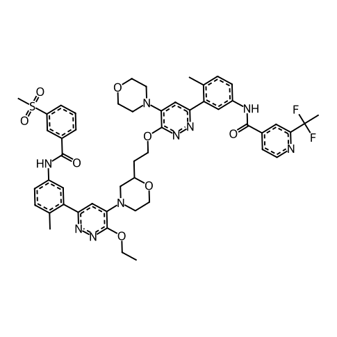 CCOc1nnc(-c2cc(NC(=O)c3cccc(S(C)(=O)=O)c3)ccc2C)cc1N1CCOC(CCOc2nnc(-c3cc(NC(=O)c4ccnc(C(C)(F)F)c4)ccc3C)cc2N2CCOCC2)C1